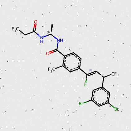 C[C@H](NC(=O)CC(F)(F)F)NC(=O)c1ccc(/C(F)=C/C(c2cc(Br)cc(Br)c2)C(F)(F)F)cc1C(F)(F)F